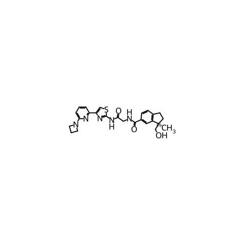 C[C@@]1(CO)CCc2ccc(C(=O)NCC(=O)Nc3nc(-c4cccc(N5CCC5)n4)cs3)cc21